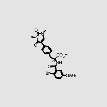 COc1ccc(Br)c(C(=O)N[C@@H](Cc2ccc(-c3cn(C)c(=O)n(C)c3=O)cc2)C(=O)O)c1